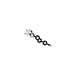 CCN(CCc1ccc2cc(-c3ccc(C#N)cc3)ccc2c1)C(C)C